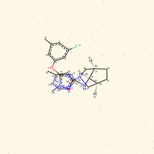 Cc1cc(F)cc(Oc2nc(N[C@H]3[C@@H]4CC[C@H]3CN(c3cc(C)ncn3)C4)nn2C)c1